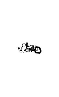 CCOC(C)(OCC)[SiH2]NC1CCCCC1